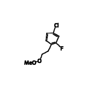 COOCCc1ccc(Cl)cc1F